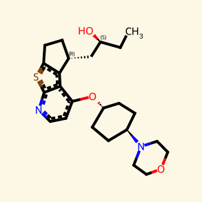 CC[C@H](O)C[C@H]1CCc2sc3nccc(O[C@H]4CC[C@H](N5CCOCC5)CC4)c3c21